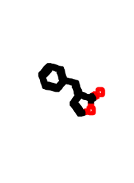 O=C1OC=C/C1=C\c1ccccc1